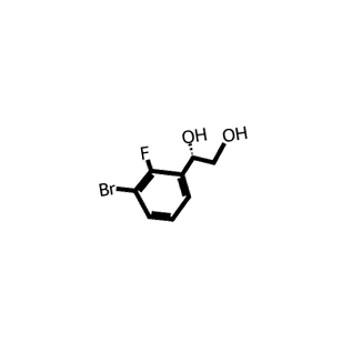 OC[C@@H](O)c1cccc(Br)c1F